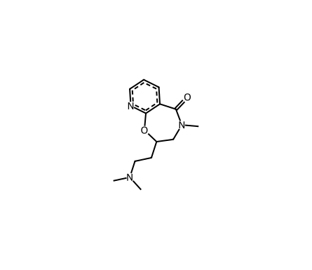 CN(C)CCC1CN(C)C(=O)c2cccnc2O1